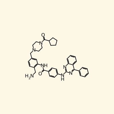 NCc1ccc(CN2CCN(C(=O)C3CCCC3)CC2)cc1NC(=O)c1ccc(Nc2nc(-c3ccccc3)c3ccccc3n2)cc1